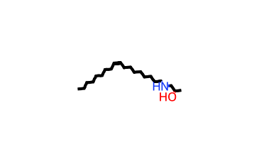 CCCCCCCC/C=C\CCCCCCCCNCC(C)O